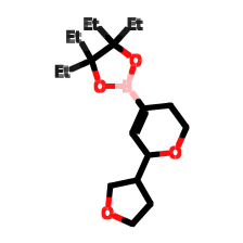 CCC1(CC)OB(C2=CC(C3CCOC3)OCC2)OC1(CC)CC